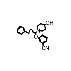 N#Cc1ccc([C@H]2C[C@H](O)CCN2C(=O)OCc2ccccc2)cc1